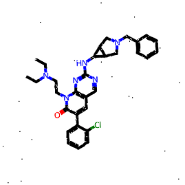 CCN(CC)CCn1c(=O)c(-c2ccccc2Cl)cc2cnc(NC3C4CN(Cc5ccccc5)CC43)nc21